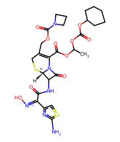 CC(OC(=O)OC1CCCCC1)OC(=O)C1=C(COC(=O)N2CCC2)CS[C@H]2C(NC(=O)/C(=N\O)c3csc(N)n3)C(=O)N12